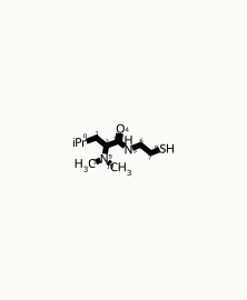 CC(C)CC(C(=O)NCCS)N(C)C